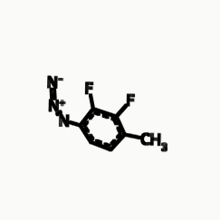 Cc1ccc(N=[N+]=[N-])c(F)c1F